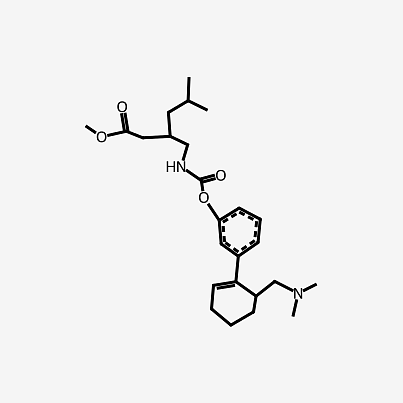 COC(=O)CC(CNC(=O)Oc1cccc(C2=CCCCC2CN(C)C)c1)CC(C)C